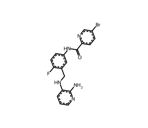 Nc1ncccc1NCc1cc(NC(=O)c2ccc(Br)cn2)ccc1F